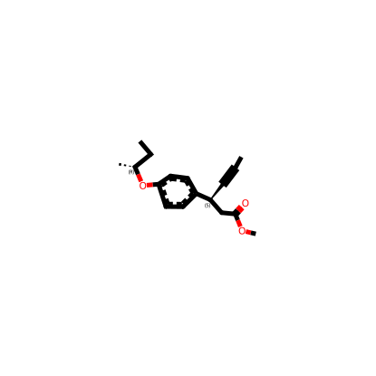 CC#C[C@@H](CC(=O)OC)c1ccc(O[C@H](C)CC)cc1